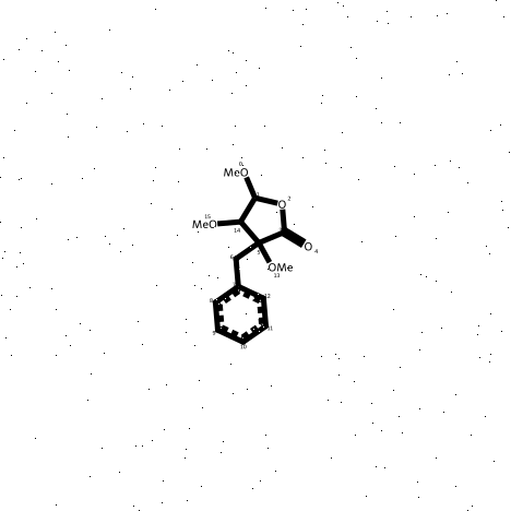 COC1OC(=O)C(Cc2ccccc2)(OC)C1OC